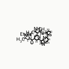 CCN(CC)C(C)CNC(=O)c1cc(/C(C(C)=N)=C(\C)N)nc(-c2cnn3ccc(-c4cccs4)nc23)c1